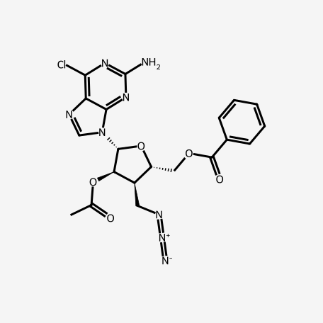 CC(=O)O[C@@H]1[C@H](CN=[N+]=[N-])[C@@H](COC(=O)c2ccccc2)O[C@H]1n1cnc2c(Cl)nc(N)nc21